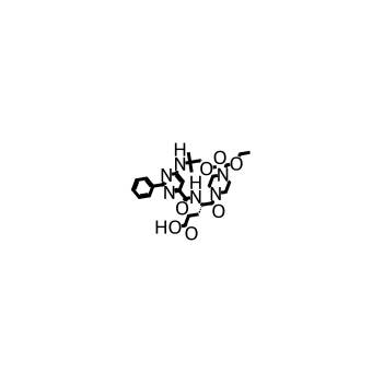 CCOC(=O)N1CCN(C(=O)[C@H](CCC(=O)O)NC(=O)c2cc(NC(C)(C)COC)nc(-c3ccccc3)n2)CC1